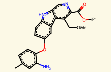 COCc1c(C(=O)OC(C)C)ncc2[nH]c3ccc(Oc4ccc(C)cc4N)cc3c12